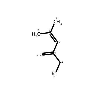 CC(C)=CC(=O)CBr